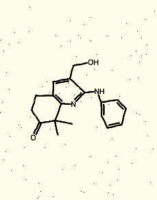 CC1(C)C(=O)CCc2cc(CO)c(Nc3ccccc3)nc21